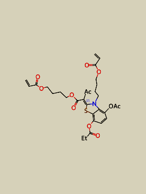 C=CC(=O)OCCCCOC(=O)/C(C(C)=O)=C1\Sc2c(OC(=O)CC)ccc(OC(C)=O)c2N1CCCCOC(=O)C=C